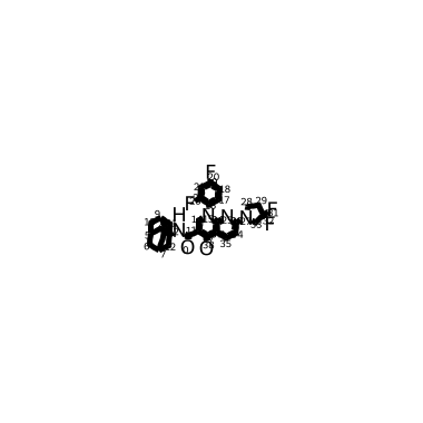 O=C(NC12CC3CC(CC(C3)C1)C2)c1cn(-c2ccc(F)cc2F)c2nc(N3CCC(F)(F)C3)ccc2c1=O